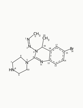 C/N=N\N1C(N2CCNCC2)=Nc2ccc(Br)cc2C1C